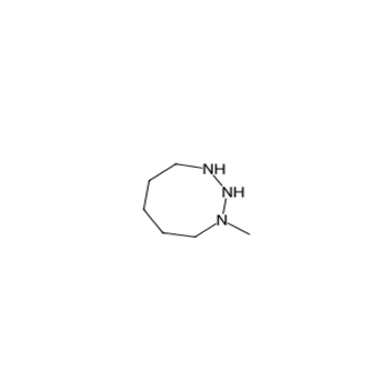 CN1CCCCCNN1